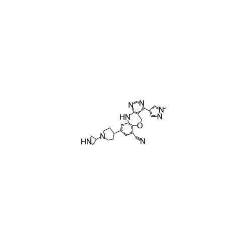 Cn1cc(-c2ncnc3c2COc2c(C#N)cc(C4CCN(C5CNC5)CC4)cc2N3)cn1